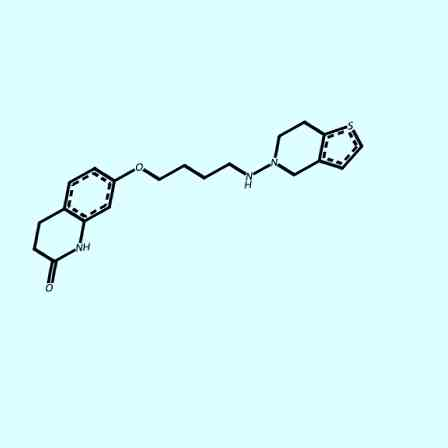 O=C1CCc2ccc(OCCCCNN3CCc4sccc4C3)cc2N1